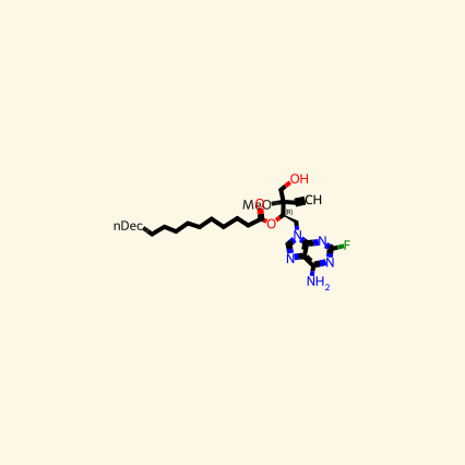 C#CC(CO)(OC)[C@@H](Cn1cnc2c(N)nc(F)nc21)OC(=O)CCCCCCCCCCCCCCCCCCC